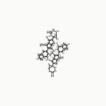 Cc1c(C23CCNCC2C3)sc2[nH]c(-c3cc(C)c4ncnn4c3)c(C(C)Cn3c(-c4cc(C)c5ncnn5c4)c(C(C)C)c4c(C)c(C56CNCCC5C6)sc43)c12